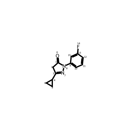 O=C1CC(C2CC2)=NN1c1cccc(F)c1